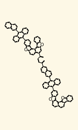 C=C(/C=C\C(=C)c1cc2oc3ccccc3c2c2c1ccc1oc3cc(-c4c5ccccc5c(-c5ccc6ccccc6c5)c5ccccc45)ccc3c12)c1ccc2cc(-c3c4ccccc4c(-c4ccc5c(c4)oc4ccc6ccc7c8ccccc8oc7c6c45)c4ccccc34)ccc2c1